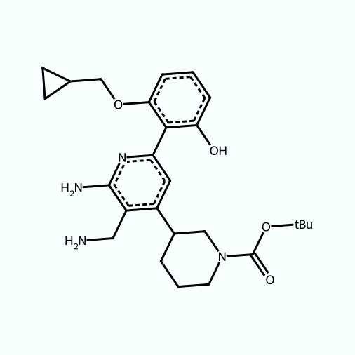 CC(C)(C)OC(=O)N1CCCC(c2cc(-c3c(O)cccc3OCC3CC3)nc(N)c2CN)C1